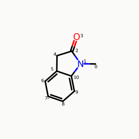 CN1C(=O)Cc2c[c]ccc21